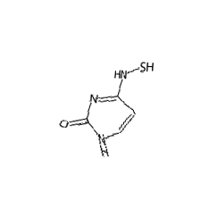 O=c1nc(NS)cc[nH]1